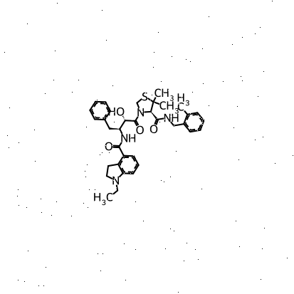 CCN1CCc2c(C(=O)N[C@@H](Cc3ccccc3)[C@H](O)C(=O)N3CSC(C)(C)[C@H]3C(=O)NCc3ccccc3C)cccc21